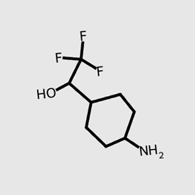 NC1CCC(C(O)C(F)(F)F)CC1